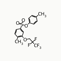 Cc1ccc(OS(=O)(=O)c2ccc(C)c(OCC(F)(F)C(F)(F)F)c2)cc1